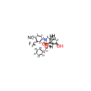 N#Cc1ccc(N2C[C@H]3[C@H]4C[C@H](O)[C@H](C4)[C@@]3(COCc3ccccc3)S2(=O)=O)cc1C(F)(F)F